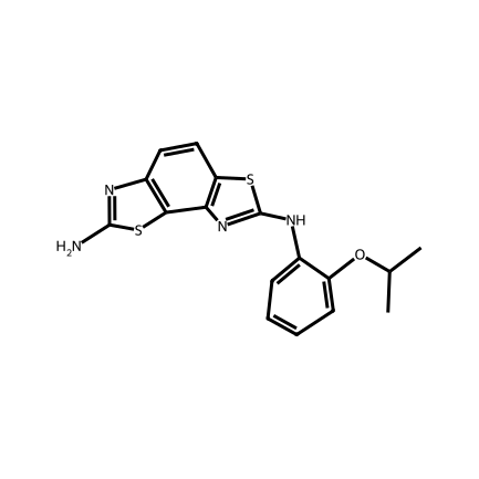 CC(C)Oc1ccccc1Nc1nc2c(ccc3nc(N)sc32)s1